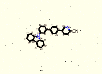 N#Cc1ccc(-c2ccc(-c3cccc(-n4c5ccccc5c5ccccc54)c3)cc2)cn1